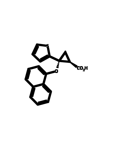 O=C(O)[C@@H]1C[C@]1(Oc1cccc2ccccc12)c1cccs1